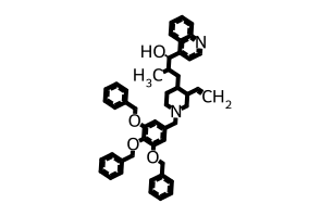 C=CC1CN(Cc2cc(OCc3ccccc3)c(OCc3ccccc3)c(OCc3ccccc3)c2)CCC1CC(C)[C@H](O)c1ccnc2ccccc12